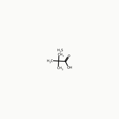 CC(C)(C)C(=O)O.S